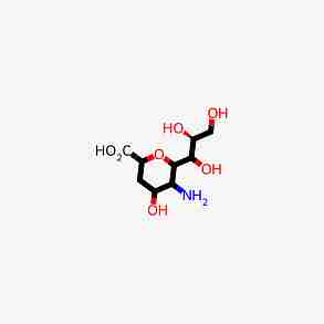 NC1C(O)CC(C(=O)O)OC1C(O)[C@@H](O)CO